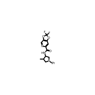 CC1CN(C(C)C)CC1NC(=O)c1cc2c(cn1)OC(F)(F)O2